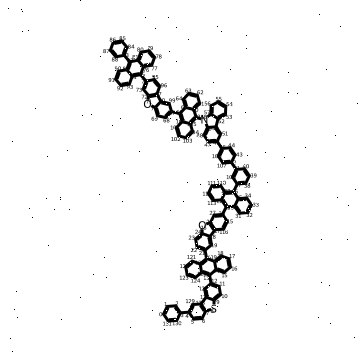 c1ccc(-c2ccc3sc4ccc(-c5c6ccccc6c(-c6ccc7oc8cc(-c9c%10ccccc%10c(-c%10cccc(-c%11ccc(-c%12ccc%13c(c%12)c%12ccccc%12n%13-c%12c%13ccccc%13c(-c%13ccc%14oc%15cc(-c%16c%17ccccc%17c(-c%17ccccc%17)c%17ccccc%16%17)ccc%15c%14c%13)c%13ccccc%12%13)cc%11)c%10)c%10ccccc9%10)ccc8c7c6)c6ccccc56)cc4c3c2)cc1